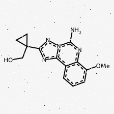 COc1cccc2c1nc(N)n1nc(C3(CO)CC3)nc21